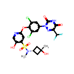 CN([C@H]1C[C@@](C)(O)C1)S(=O)(=O)c1cc(Oc2c(Cl)cc(-n3nc(C(F)F)c(=O)[nH]c3=O)cc2Cl)ncc1O